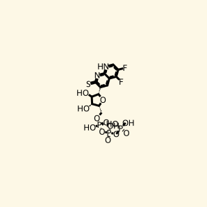 O=P(O)(O)OP(=O)(O)OP(=O)(O)OC[C@H]1O[C@@H](c2cc3c(F)c(F)c[nH]c-3nc2=S)C(O)[C@H]1O